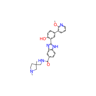 COc1ncccc1-c1ccc(O)c(-c2nc3cc(C(=O)NCC4(C)CCN(C)C4)ccc3[nH]2)c1